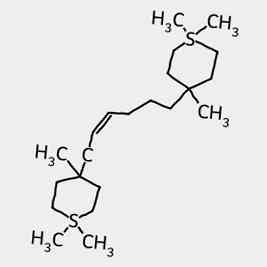 CC1(C/C=C\CCCC2(C)CCS(C)(C)CC2)CCS(C)(C)CC1